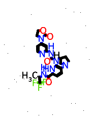 C[C@@H](NC(=O)C1C=CC2=C(N1)N(C(=O)Nc1cc(N3CCOC3=O)ccn1)[C@H]1CCN2C1)C(F)(F)F